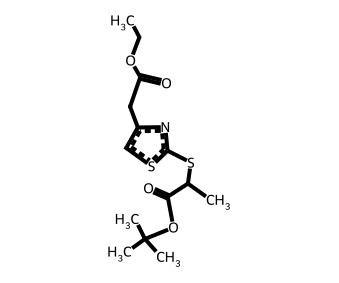 CCOC(=O)Cc1csc(SC(C)C(=O)OC(C)(C)C)n1